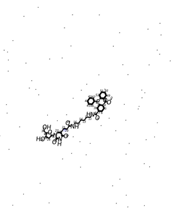 COC(=O)c1ccc(C(=O)NCCCCCCNC(=O)/C=C/c2cn([C@H]3C[C@H](O)[C@@H](CO)O3)c(=O)[nH]c2=O)cc1P(c1ccccc1)c1ccccc1